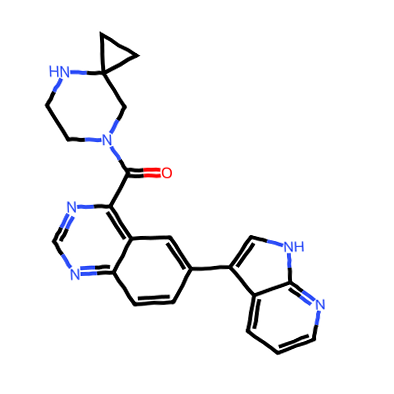 O=C(c1ncnc2ccc(-c3c[nH]c4ncccc34)cc12)N1CCNC2(CC2)C1